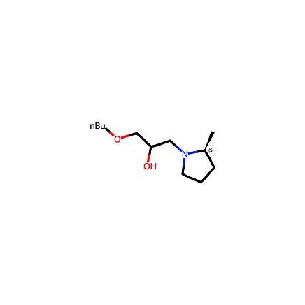 CCCCOCC(O)CN1CCC[C@@H]1C